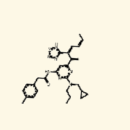 C=C(/C(=C\C=C/C)c1nnn[nH]1)c1cc(NC(=O)Cc2ccc(C)cc2)nc(N(CCC)CC2CC2)n1